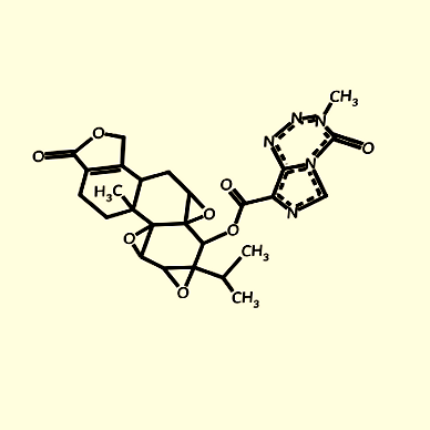 CC(C)C12OC1C1OC13C1(C)CCC4=C(COC4=O)C1CC1OC13C2OC(=O)c1ncn2c(=O)n(C)nnc12